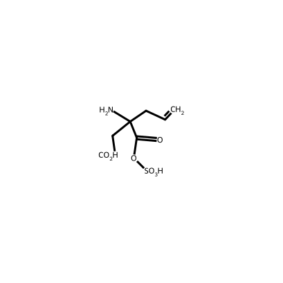 C=CCC(N)(CC(=O)O)C(=O)OS(=O)(=O)O